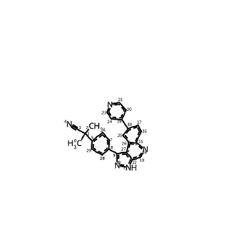 CC(C)(C#N)c1ccc(-c2n[nH]c3cnc4ccc(-c5ccncc5)cc4c23)cc1